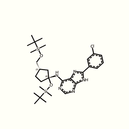 CC(C)(C)[Si](C)(C)OC[C@H]1CC[C@@](Nc2ncnc3[nH]c(-c4cccc(Cl)c4)nc23)(O[Si](C)(C)C(C)(C)C)C1